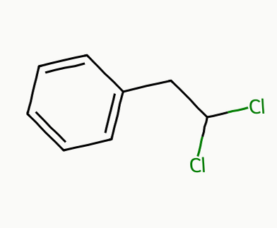 ClC(Cl)Cc1ccccc1